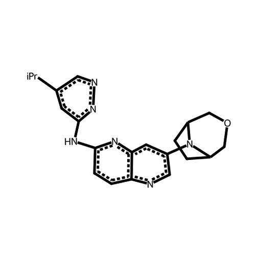 CC(C)c1cnnc(Nc2ccc3ncc(N4C5CCC4COC5)cc3n2)c1